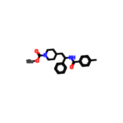 Cc1ccc(C(=O)NC(CC2CCN(C(=O)OC(C)(C)C)CC2)c2ccccc2)cc1